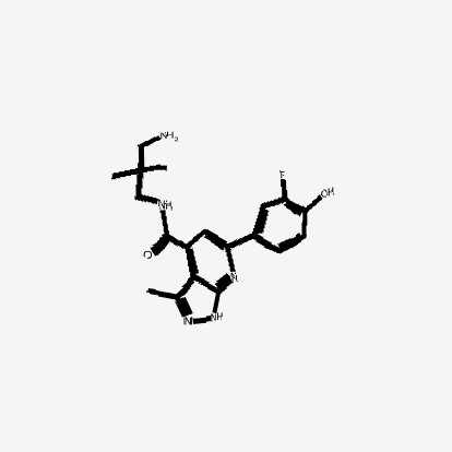 Cc1n[nH]c2nc(-c3ccc(O)c(F)c3)cc(C(=O)NCC(C)(C)CN)c12